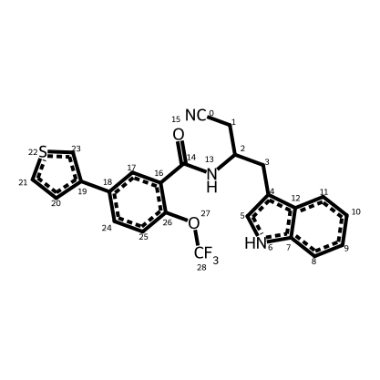 N#CCC(Cc1c[nH]c2ccccc12)NC(=O)c1cc(-c2ccsc2)ccc1OC(F)(F)F